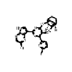 O=C(O)[C@H]1C2CCC(CC2)[C@@H]1Nc1nc(-c2c[nH]c3ncc(Cl)nc23)nc(-c2ccc(F)s2)c1F